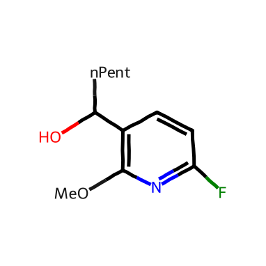 CCCCCC(O)c1ccc(F)nc1OC